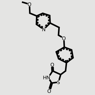 COCc1ccc(CCOc2ccc(CC3SC(=O)NC3=O)cc2)nc1